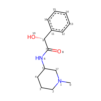 CN1CCCC(NC(=O)[C@H](O)c2ccccc2)C1